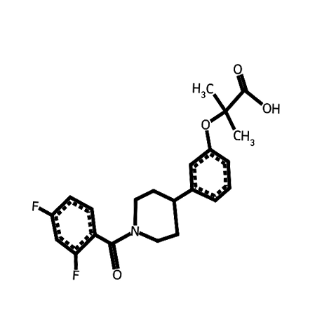 CC(C)(Oc1cccc(C2CCN(C(=O)c3ccc(F)cc3F)CC2)c1)C(=O)O